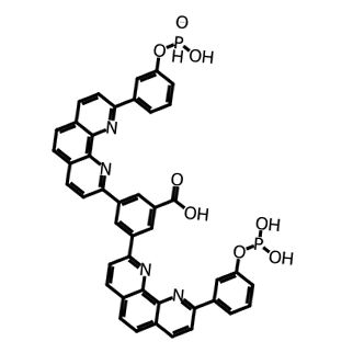 O=C(O)c1cc(-c2ccc3ccc4ccc(-c5cccc(OP(O)O)c5)nc4c3n2)cc(-c2ccc3ccc4ccc(-c5cccc(O[PH](=O)O)c5)nc4c3n2)c1